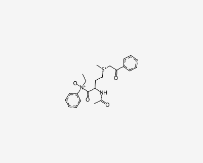 CC[N+]([O-])(C(=O)C(CC[S+](C)CC(=O)c1ccccc1)NC(C)=O)c1ccccc1